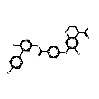 O=C(Nc1ccc(F)c(-c2ccc(Cl)cc2)c1)c1ccc(Oc2cc3c(cc2Cl)C(C(=O)O)CCO3)cc1